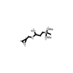 CO[Si](C)(CCC(O)OCC1CO1)OC